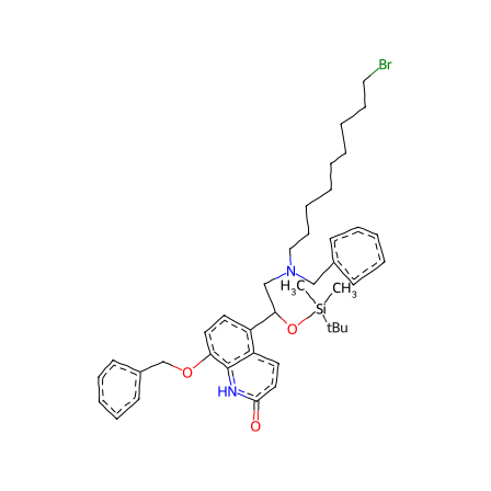 CC(C)(C)[Si](C)(C)OC(CN(CCCCCCCCCBr)Cc1ccccc1)c1ccc(OCc2ccccc2)c2[nH]c(=O)ccc12